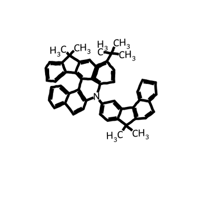 CC(C)(C)c1ccc(N(c2ccc3c(c2)-c2c(ccc4ccccc24)C3(C)C)c2ccc3ccccc3c2-c2cccc3c2-c2ccccc2C3(C)C)cc1